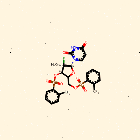 C[C@@]1(F)[C@H](OS(=O)(=O)c2ccccc2C(F)(F)F)C(COS(=O)(=O)c2ccccc2C(F)(F)F)O[C@H]1n1ccc(=O)[nH]c1=O